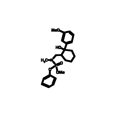 COc1cccc(C2(O)CCCCC2CN(C)P(=O)(OC)Oc2ccccc2)c1